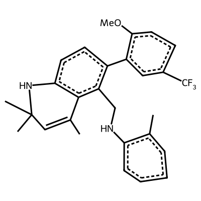 COc1ccc(C(F)(F)F)cc1-c1ccc2c(c1CNc1ccccc1C)C(C)=CC(C)(C)N2